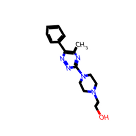 Cc1nc(N2CCN(CCO)CC2)nnc1-c1ccccc1